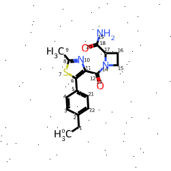 CCc1ccc(-c2sc(C)nc2C(=O)N2CCC2C(N)=O)cc1